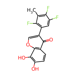 Cc1c(F)c(F)cc(-c2coc3c(O)c(O)ccc3c2=O)c1F